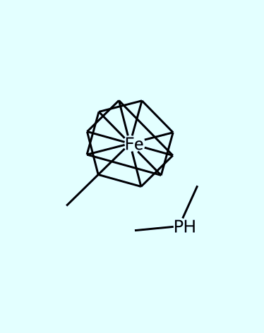 CPC.C[C]12[CH]3[CH]4[CH]5[CH]1[Fe]45321678[CH]2[CH]1[CH]6[CH]7[CH]28